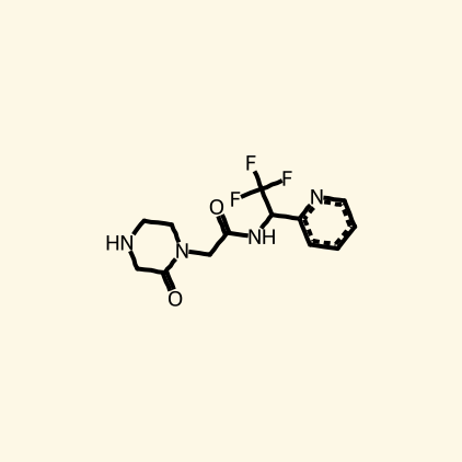 O=C(CN1CCNCC1=O)NC(c1ccccn1)C(F)(F)F